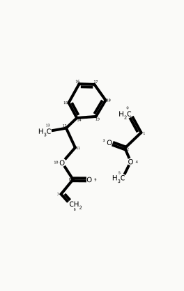 C=CC(=O)OC.C=CC(=O)OCC(C)c1ccccc1